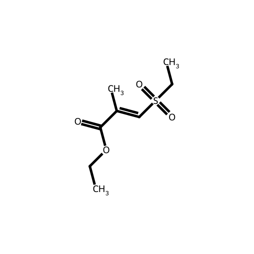 CCOC(=O)C(C)=CS(=O)(=O)CC